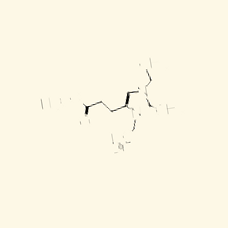 CCn1cc(CCC(=O)OC)[n+](CC)c1C.[Br-]